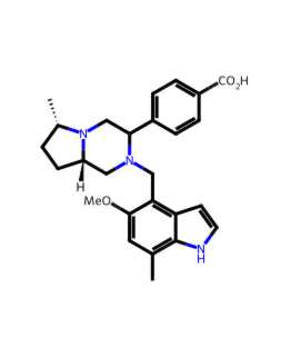 COc1cc(C)c2[nH]ccc2c1CN1C[C@@H]2CC[C@H](C)N2CC1c1ccc(C(=O)O)cc1